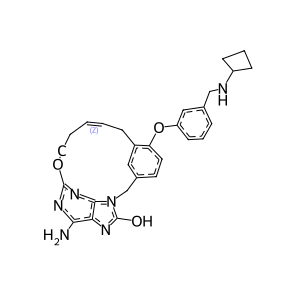 Nc1nc2nc3c1nc(O)n3Cc1ccc(Oc3cccc(CNC4CCC4)c3)c(c1)C/C=C\CCO2